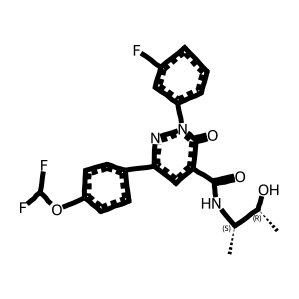 C[C@H](NC(=O)c1cc(-c2ccc(OC(F)F)cc2)nn(-c2cccc(F)c2)c1=O)[C@@H](C)O